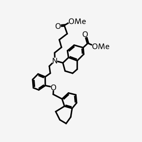 COC(=O)CCCCN(CCc1ccccc1OCc1cccc2c1CCCC2)C1CCCc2cc(C(=O)OC)ccc21